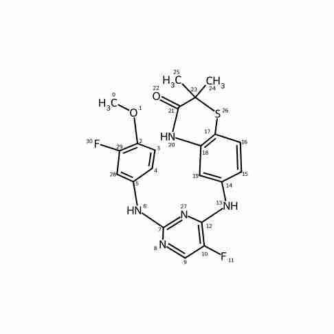 COc1ccc(Nc2ncc(F)c(Nc3ccc4c(c3)NC(=O)C(C)(C)S4)n2)cc1F